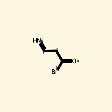 N=CCC(=O)Br